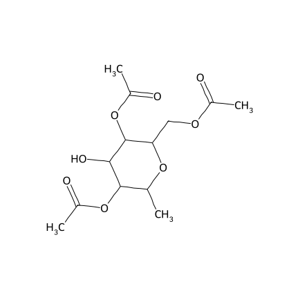 CC(=O)OCC1OC(C)C(OC(C)=O)C(O)C1OC(C)=O